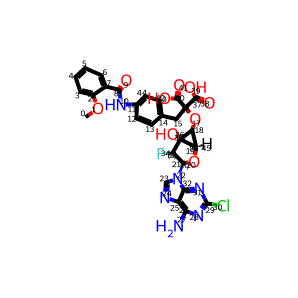 COc1ccccc1C(=O)Nc1ccc(CC(OC2[C@H]3O[C@@H](n4cnc5c(N)nc(Cl)nc54)[C@@H](F)[C@@]23O)(C(=O)O)C(=O)O)cc1